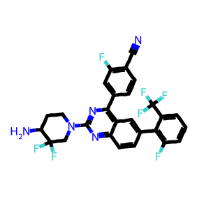 N#Cc1ccc(-c2nc(N3CCC(N)C(F)(F)C3)nc3ccc(-c4c(F)cccc4C(F)(F)F)cc23)cc1F